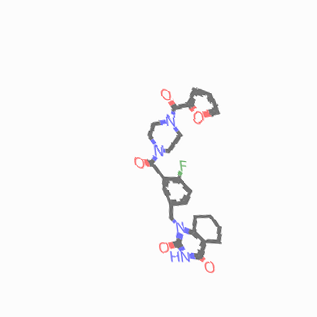 O=C(c1ccco1)N1CCN(C(=O)c2cc(Cn3c4c(c(=O)[nH]c3=O)CCCC4)ccc2F)CC1